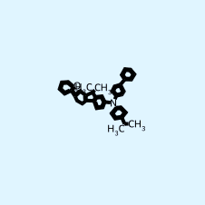 CC(C)c1ccc(N(c2ccc(-c3ccccc3)cc2)c2ccc3c(c2)C(C)(C)C2=C3CCc3c2oc2ccccc32)cc1